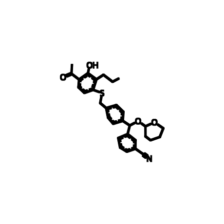 CCCc1c(SCc2ccc(C(OC3CCCCO3)c3cccc(C#N)c3)cc2)ccc(C(C)=O)c1O